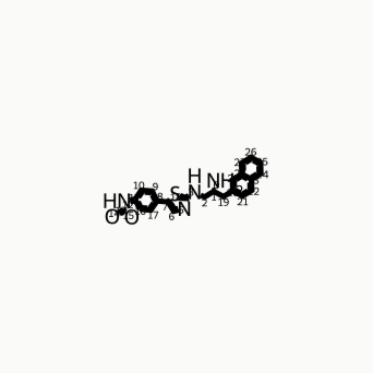 N[C@H](CNc1ncc(-c2ccc3[nH]c(=O)oc3c2)s1)Cc1ccc2ccccc2c1